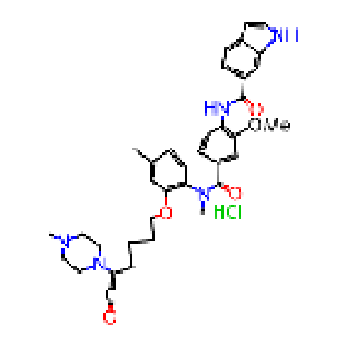 COc1cc(C(=O)N(C)c2ccc(C)cc2OCCCCC(=C=O)N2CCN(C)CC2)ccc1NC(=O)c1ccc2cc[nH]c2c1.Cl